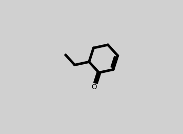 CCC1CCC=CC1=O